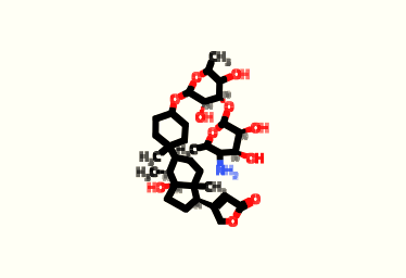 CC1OC(O[C@H]2C(O)C(C)OC(OC3CCC(C)(C4CCC5(C)[C@@H](C6=CC(=O)OC6)CC[C@]5(O)[C@@H]4C)CC3)[C@H]2O)[C@@H](O)[C@@H](O)C1N